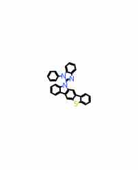 c1ccc(-n2c(-n3c4ccccc4c4cc5sc6ccccc6c5cc43)nc3ccccc32)cc1